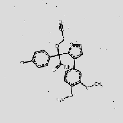 C#CCOC(C(N)=O)(c1ccc(Cl)cc1)c1oncc1-c1ccc(OC)c(OC)c1